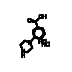 Cl.Cl.O=C(O)c1cccc(N2CCNCC2)c1